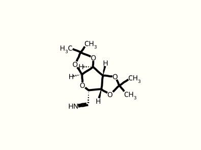 CC1(C)O[C@@H]2O[C@@H](C=N)[C@H]3OC(C)(C)O[C@H]3[C@@H]2O1